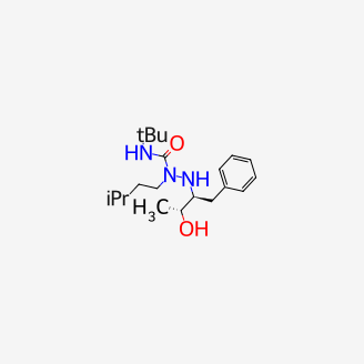 CC(C)CCN(N[C@@H](Cc1ccccc1)[C@@H](C)O)C(=O)NC(C)(C)C